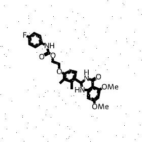 COc1cc2c(c(OC)c1)C(=O)NC(c1ccc(OCCOC(=O)Nc3ccc(F)cc3)c(C)c1C)N2